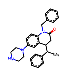 CC(C)(C)C(c1ccccc1)C1CC(=O)N(Cc2ccccc2)c2ccc(N3CCNCC3)cc21